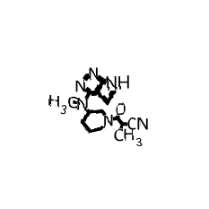 CC(C#N)C(=O)N1CCCC(N(C)c2ncnc3[nH]ccc23)C1